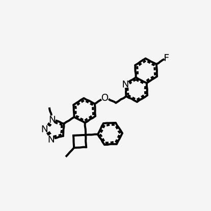 CC1CC(c2ccccc2)(c2cc(OCc3ccc4cc(F)ccc4n3)ccc2-c2cnnn2C)C1